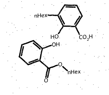 CCCCCCOC(=O)c1ccccc1O.CCCCCCc1cccc(C(=O)O)c1O